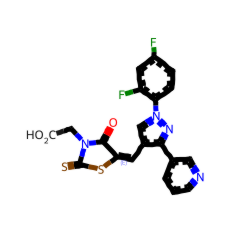 O=C(O)CN1C(=O)/C(=C\c2cn(-c3ccc(F)cc3F)nc2-c2cccnc2)SC1=S